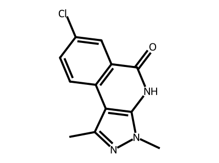 Cc1nn(C)c2[nH]c(=O)c3cc(Cl)ccc3c12